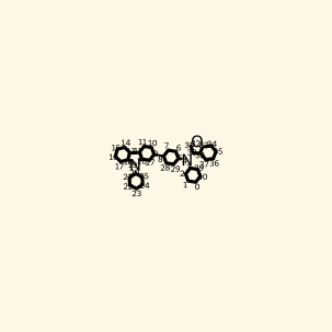 c1ccc(N(c2ccc(-c3ccc4c5ccccc5n(-c5ccccc5)c4c3)cc2)c2coc3ccccc23)cc1